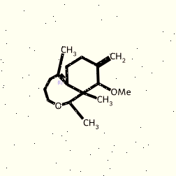 C=C1CC/C2=C(/C)CCCOC(C)C2(C)C1OC